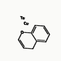 C1=COc2ccccc2C1.[Cu].[Ta]